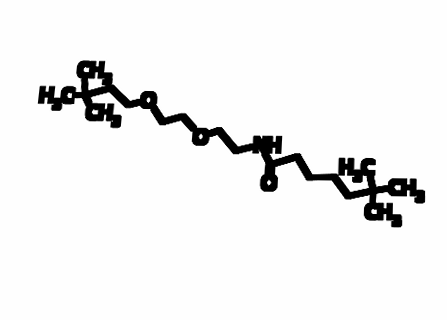 CC(C)(C)CCCCC(=O)NCCOCCOCCC(C)(C)C